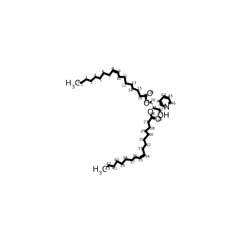 CCCCCCCC/C=C\CCCCCCCC(=O)OC[C@H](CO)OC(=O)CCCCCCC/C=C\CCCCCCCC.c1ccncc1